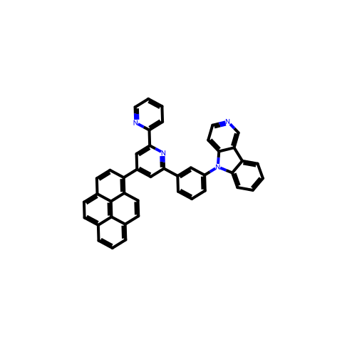 c1ccc(-c2cc(-c3ccc4ccc5cccc6ccc3c4c56)cc(-c3cccc(-n4c5ccccc5c5cnccc54)c3)n2)nc1